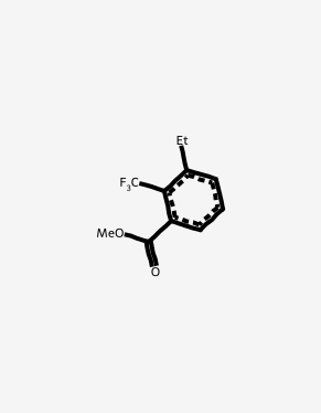 CCc1cccc(C(=O)OC)c1C(F)(F)F